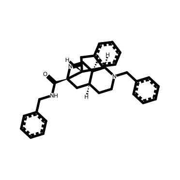 O=C(NCc1ccccc1)[C@@]12C[C@@H]3CCN(Cc4ccccc4)[C@@H]([C@@H]3C=N1)[C@H]2Cc1ccccc1